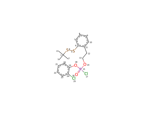 CC(C)(C)SSc1ccccc1CCOP(=O)(Cl)Oc1ccccc1Cl